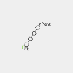 CCCCCC1CCC(c2ccc(-c3ccc(C4CCC(F)(CC)CC4)cc3)cc2)CC1